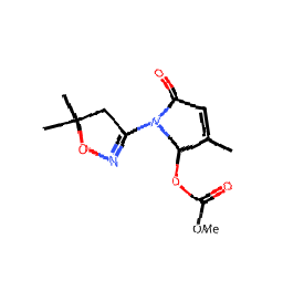 COC(=O)OC1C(C)=CC(=O)N1C1=NOC(C)(C)C1